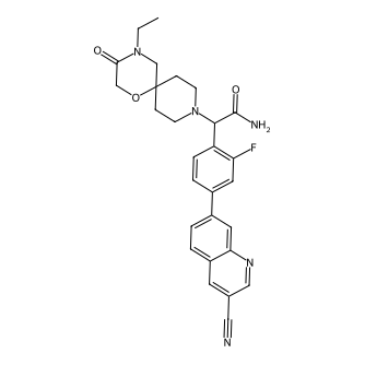 CCN1CC2(CCN(C(C(N)=O)c3ccc(-c4ccc5cc(C#N)cnc5c4)cc3F)CC2)OCC1=O